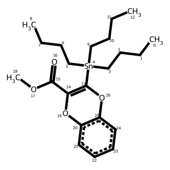 CCC[CH2][Sn]([CH2]CCC)([CH2]CCC)[C]1=C(C(=O)OC)Oc2ccccc2O1